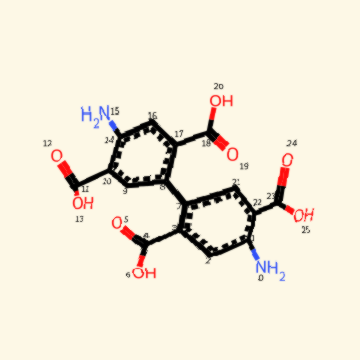 Nc1cc(C(=O)O)c(-c2cc(C(=O)O)c(N)cc2C(=O)O)cc1C(=O)O